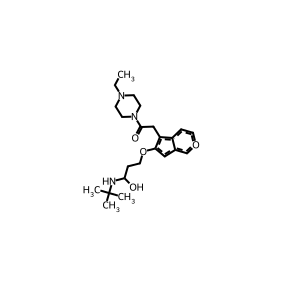 CCN1CCN(C(=O)Cc2c(OCCC(O)NC(C)(C)C)cc3coccc2-3)CC1